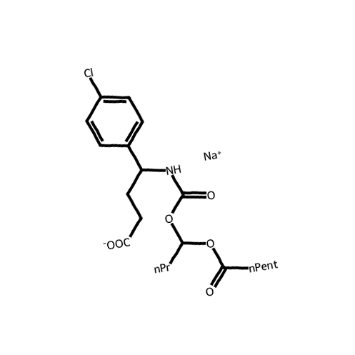 CCCCCC(=O)OC(CCC)OC(=O)NC(CCC(=O)[O-])c1ccc(Cl)cc1.[Na+]